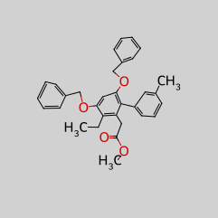 CCc1c(OCc2ccccc2)cc(OCc2ccccc2)c(-c2cccc(C)c2)c1CC(=O)OC